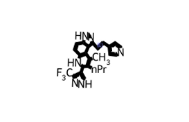 CCCC1=C(C)C2=C(C=CC3NN=C(/C=C/c4ccncc4)C23)NC1c1c[nH]nc1C(F)(F)F